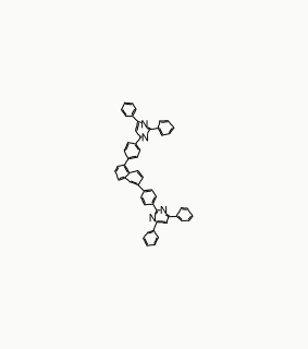 c1ccc(-c2cc(-c3ccc(-c4cccc5cc(-c6ccc(-c7nc(-c8ccccc8)cc(-c8ccccc8)n7)cc6)ccc45)cc3)nc(-c3ccccc3)n2)cc1